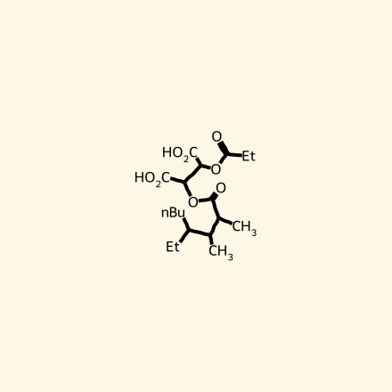 CCCCC(CC)C(C)C(C)C(=O)OC(C(=O)O)C(OC(=O)CC)C(=O)O